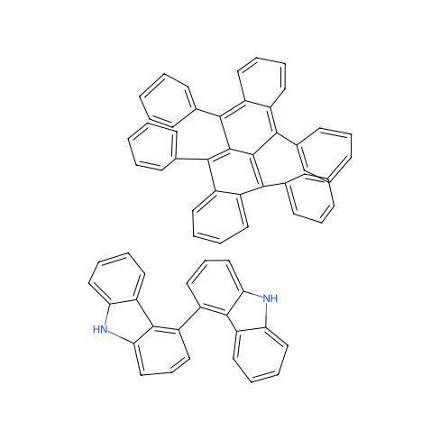 c1ccc(-c2c3ccccc3c(-c3ccccc3)c3c(-c4ccccc4)c4ccccc4c(-c4ccccc4)c23)cc1.c1ccc2c(c1)[nH]c1cccc(-c3cccc4[nH]c5ccccc5c34)c12